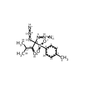 Cc1ccc(S(=O)(=O)C(N=[N+]=[N-])(N=[N+]=[N-])C(=O)C(C)C)cc1